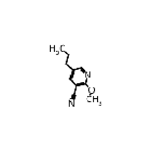 CCCc1cnc(OC)c(C#N)c1